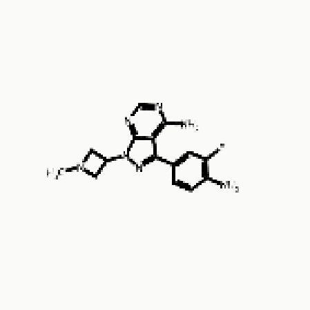 CN1CC(n2nc(-c3ccc(N)c(F)c3)c3c(N)ncnc32)C1